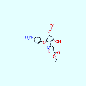 CCOC(=O)c1cc(-c2c(O)cc(OCOC)cc2Oc2ccc(N)cc2)no1